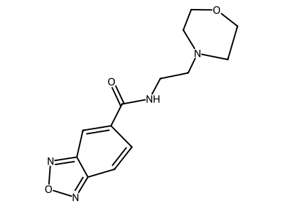 O=C(NCCN1CCOCC1)c1ccc2nonc2c1